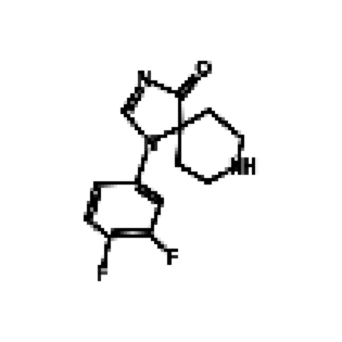 O=C1N=CN(c2ccc(F)c(F)c2)C12CCNCC2